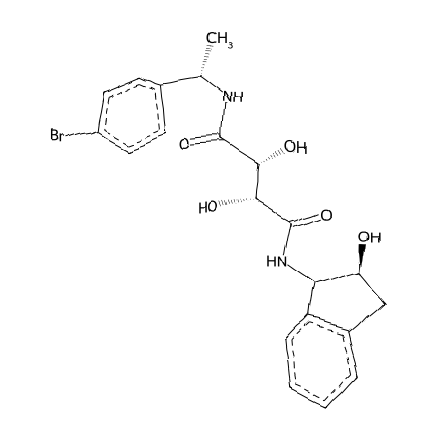 C[C@H](NC(=O)[C@H](O)[C@@H](O)C(=O)NC1c2ccccc2C[C@@H]1O)c1ccc(Br)cc1